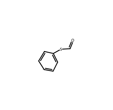 O=CSc1cc[c]cc1